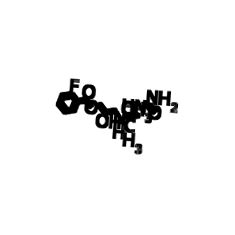 CC(C)(CNC(N)=O)NCC(O)COC(=O)c1ccccc1F